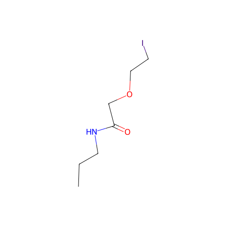 CCCNC(=O)COCCI